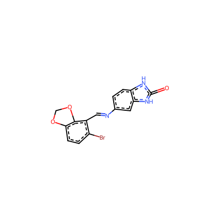 O=c1[nH]c2ccc(N=Cc3c(Br)ccc4c3OCO4)cc2[nH]1